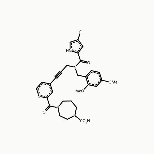 COc1ccc(CN(CC#Cc2ccnc(C(=O)N3CCCN(C(=O)O)CC3)c2)C(=O)c2cc(Cl)c[nH]2)c(OC)c1